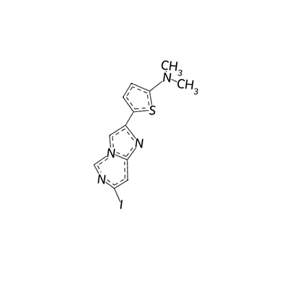 CN(C)c1ccc(-c2cn3cnc(I)cc3n2)s1